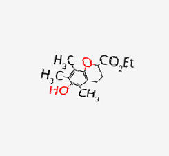 CCOC(=O)C1CCc2c(C)c(O)c(C)c(C)c2O1